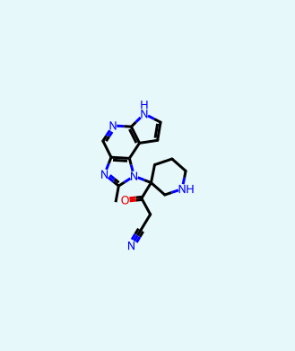 Cc1nc2cnc3[nH]ccc3c2n1C1(C(=O)CC#N)CCCNC1